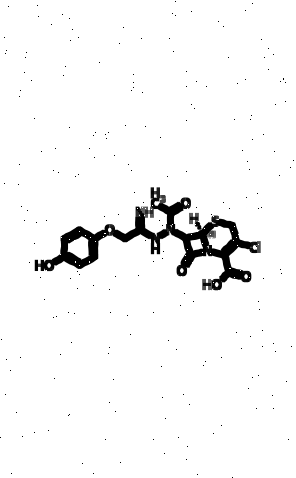 CC(=O)N(NC(=N)COc1ccc(O)cc1)C1C(=O)N2C(C(=O)O)=C(Cl)CS[C@H]12